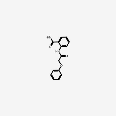 [NH]C(=O)c1ccccc1NC(=O)COc1ccccc1